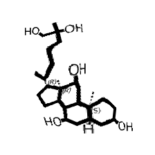 CC(CCCC(C)(O)CO)[C@H]1CCC2C3C(O)C[C@@H]4CC(O)CC[C@]4(C)C3CC(O)[C@@]21C